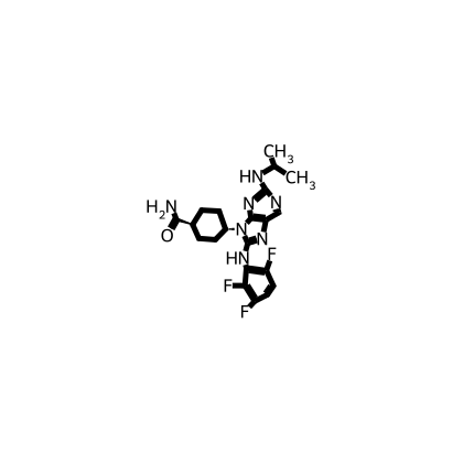 CC(C)Nc1ncc2nc(Nc3c(F)ccc(F)c3F)n([C@H]3CC[C@H](C(N)=O)CC3)c2n1